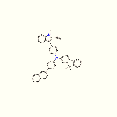 Cn1c(C(C)(C)C)c(-c2ccc(N(c3ccc(-c4ccc5ccccc5c4)cc3)c3ccc4c(c3)C(C)(C)c3ccccc3-4)cc2)c2ccccc21